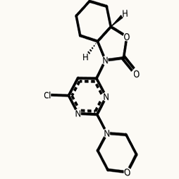 O=C1O[C@H]2CCCC[C@@H]2N1c1cc(Cl)nc(N2CCOCC2)n1